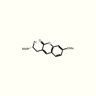 CN[C@@H](Cc1cc2ccc(OC)cc2oc1=O)C(C)=O